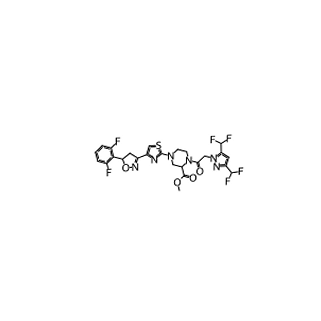 COC(=O)C1CN(c2nc(C3=NOC(c4c(F)cccc4F)C3)cs2)CCN1C(=O)Cn1nc(C(F)F)cc1C(F)F